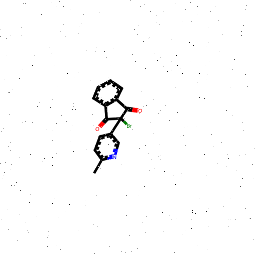 Cc1ccc(C2(Br)C(=O)c3ccccc3C2=O)cn1